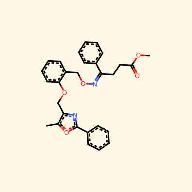 COC(=O)CCC(=NOCc1ccccc1OCc1nc(-c2ccccc2)oc1C)c1ccccc1